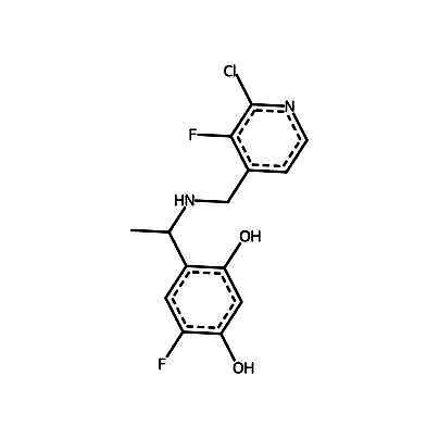 CC(NCc1ccnc(Cl)c1F)c1cc(F)c(O)cc1O